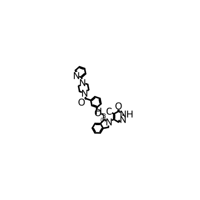 Cc1c(N2Cc3ccccc3[C@H]2COc2cccc(C(=O)N3CCN(c4ccccn4)CC3)c2)cn[nH]c1=O